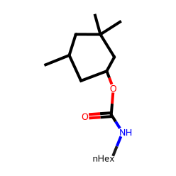 CCCCCCNC(=O)OC1CC(C)CC(C)(C)C1